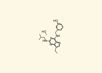 CCc1cnn2c(NCc3ccc[n+](O)c3)nc(N[C@@H](CO)C(C)C)nc12